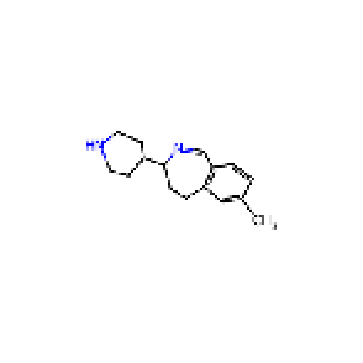 Cc1ccc2c(c1)CCC(C1CCNCC1)N=C2